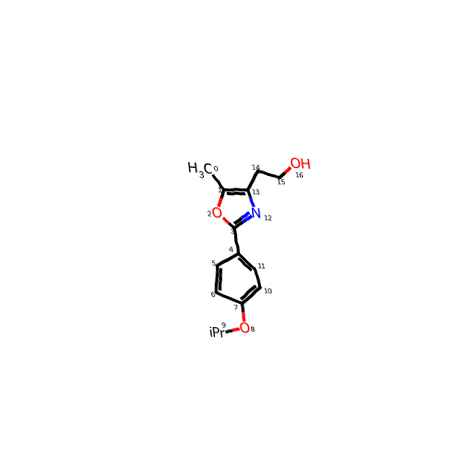 Cc1oc(-c2ccc(OC(C)C)cc2)nc1CCO